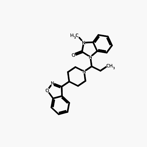 CCC(N1CCC(c2noc3ccccc23)CC1)n1c(=O)n(C)c2ccccc21